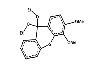 CCOC1(OCC)c2ccccc2Sc2c1ccc(OC)c2OC